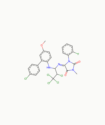 COc1ccc(NC(N=C2C(=O)N(C)C(=O)N2c2ccccc2F)C(Cl)C(Cl)(Cl)Cl)c(-c2ccc(Cl)cc2)c1